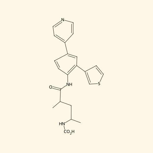 CC(CC(C)C(=O)Nc1ccc(-c2ccncc2)cc1-c1ccsc1)NC(=O)O